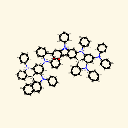 c1ccc(N(c2ccccc2)c2cc3c4c(c2)N(c2ccccc2)c2cc5c(cc2B4c2ccccc2N3c2ccccc2)c2ccc(-c3ccccc3N(c3ccccc3)c3cc4c6c(c3)N(c3ccccc3)c3ccc7ccccc7c3B6c3ccccc3N4c3ccccc3)cc2n5-c2ccccc2)cc1